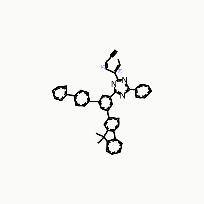 C#C/C=C\C(=C/C)c1nc(-c2ccccc2)nc(-c2cc(-c3ccc(-c4ccccc4)cc3)cc(-c3ccc4c(c3)C(C)(C)c3ccccc3-4)c2)n1